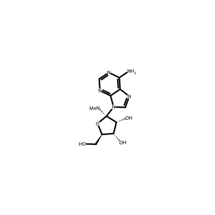 CN[C@@]1(n2cnc3c(N)ncnc32)O[C@H](CO)[C@@H](O)[C@H]1O